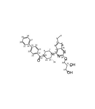 CCc1cc2c(N3CCN(C(=O)c4ccc(-c5ccccc5)cc4)C[C@H]3C)nc(OC[C@H](O)CO)nc2s1